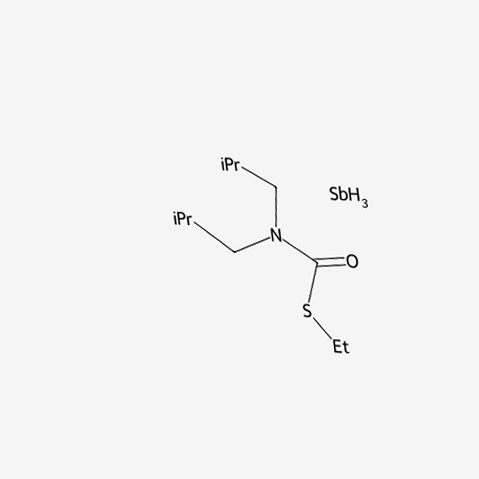 CCSC(=O)N(CC(C)C)CC(C)C.[SbH3]